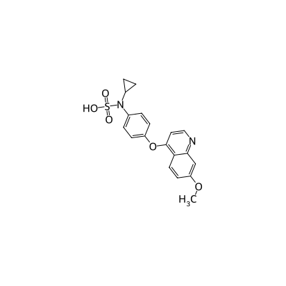 COc1ccc2c(Oc3ccc(N(C4CC4)S(=O)(=O)O)cc3)ccnc2c1